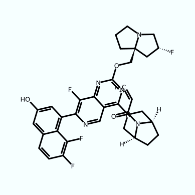 C=CC(=O)N1[C@@H]2CC[C@H]1CN(c1nc(OC[C@@]34CCCN3C[C@H](F)C4)nc3c(F)c(-c4cc(O)cc5ccc(F)c(F)c45)ncc13)C2